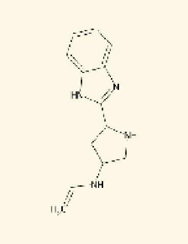 C=CNC1CNC(c2nc3ccccc3[nH]2)C1